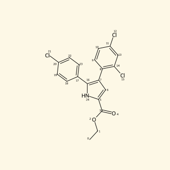 CCOC(=O)c1cc(-c2ccc(Cl)cc2Cl)c(-c2ccc(Cl)cc2)[nH]1